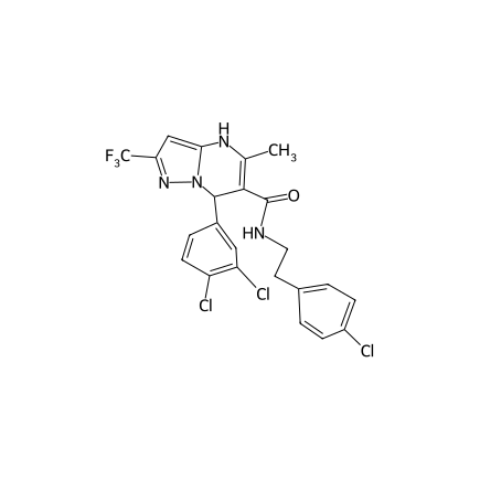 CC1=C(C(=O)NCCc2ccc(Cl)cc2)C(c2ccc(Cl)c(Cl)c2)n2nc(C(F)(F)F)cc2N1